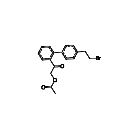 CC(=O)OCC(=O)c1ccccc1-c1ccc(CCBr)cc1